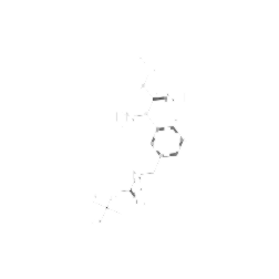 COCC(=N)C(N)c1cccc(CNC(=O)OC(C)(C)C)c1